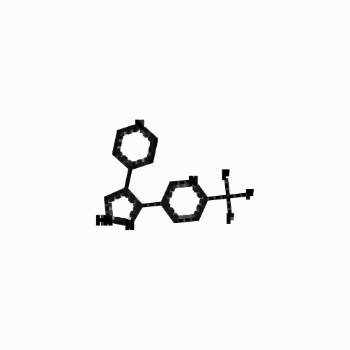 FC(F)(F)c1ccc(-c2n[nH]cc2-c2ccncc2)cn1